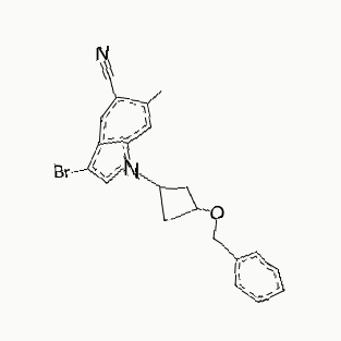 Cc1cc2c(cc1C#N)c(Br)cn2C1CC(OCc2ccccc2)C1